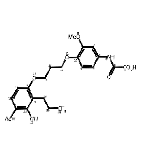 COc1cc(NC(=O)C(=O)O)ccc1OCCCOc1ccc(C(C)=O)c(O)c1CCC(F)(F)F